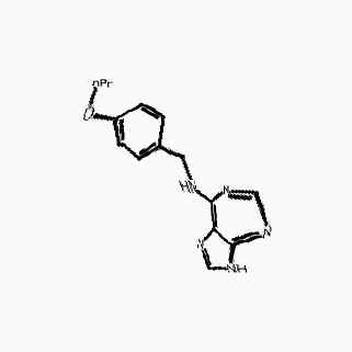 CCCOc1ccc(CNc2ncnc3[nH]cnc23)cc1